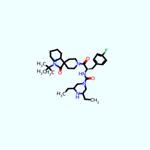 CCC1CN(C(=O)N[C@H](Cc2ccc(F)cc2)C(=O)N2CCC(C(=O)NC(C)(C)C)(C3CCCCC3)CC2)CC(CC)N1